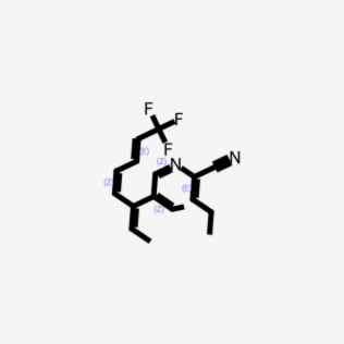 CC=C(/C=C\C=C\C(F)(F)F)C(/C=N\C(C#N)=C\CC)=C/C